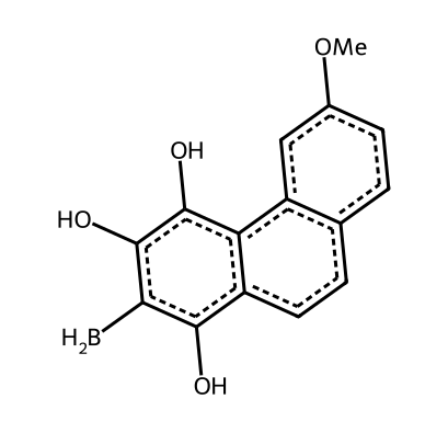 Bc1c(O)c(O)c2c(ccc3ccc(OC)cc32)c1O